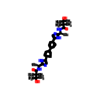 CC(C)(C)[C@H](NC(=O)C(C)(C)C(C)(C)O)c1ncc(-c2ccc(-c3ccc(-c4cnc([C@@H](NC(=O)C(C)(C)C(C)(C)O)C(C)(C)C)[nH]4)cc3)cc2)[nH]1